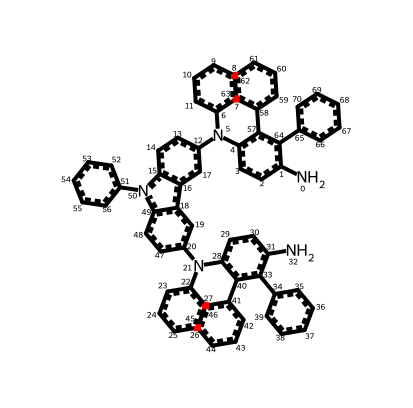 Nc1ccc(N(c2ccccc2)c2ccc3c(c2)c2cc(N(c4ccccc4)c4ccc(N)c(-c5ccccc5)c4-c4ccccc4)ccc2n3-c2ccccc2)c(-c2ccccc2)c1-c1ccccc1